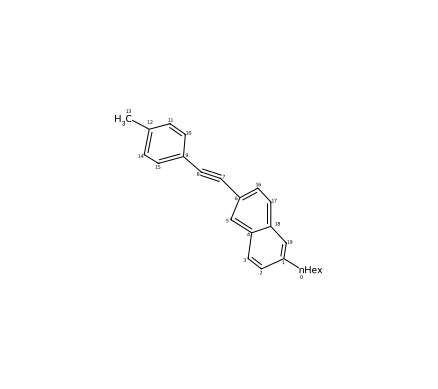 CCCCCCc1ccc2cc(C#Cc3ccc(C)cc3)ccc2c1